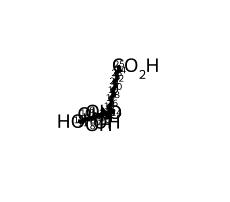 CN(C[C@H](O)[C@@H](O)[C@H](O)[C@H](O)CO)C(=O)CCCCCCCCCCC(=O)O